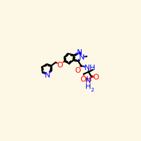 Cn1nc2ccc(OCc3cccnc3)cc2c1C(=O)NC(C)(CO)C(N)=O